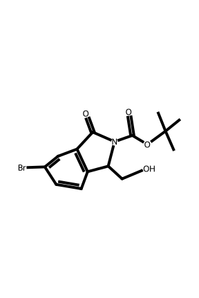 CC(C)(C)OC(=O)N1C(=O)c2cc(Br)ccc2C1CO